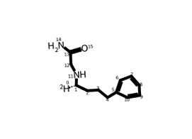 [2H][C@@H](CCCc1ccccc1)NCC(N)=O